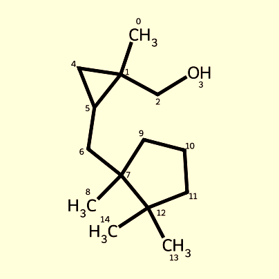 CC1(CO)CC1CC1(C)CCCC1(C)C